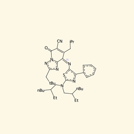 CCCCC(CC)CN(CC(CC)CCCC)c1nc(-c2ccccc2)c(/N=C2/C(CC(C)C)=C(C#N)C(=O)n3nc(CC(C)(C)C)nc32)s1